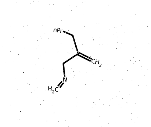 C=NCC(=C)CCCC